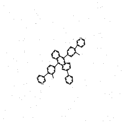 Cc1cc(-c2c3ccccc3c(-c3ccc(-c4cccnc4)c(C)c3)c3cc(-c4ccccc4)ccc23)ccc1-c1cccnc1